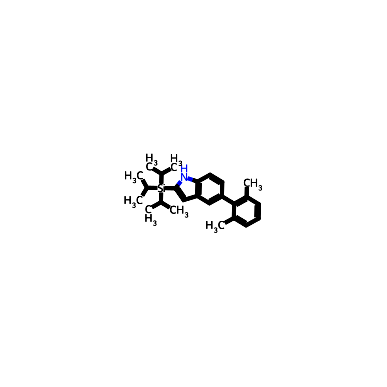 Cc1cccc(C)c1-c1ccc2[nH]c([Si](C(C)C)(C(C)C)C(C)C)cc2c1